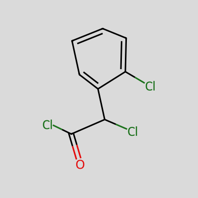 O=C(Cl)C(Cl)c1ccccc1Cl